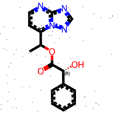 CC(OC(=O)[C@H](O)c1ccccc1)c1ccnc2ncnn12